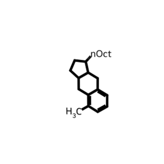 CCCCCCCCC1CCC2Cc3c(C)cccc3CC12